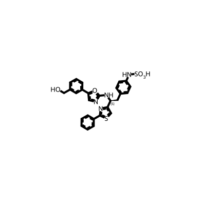 O=S(=O)(O)Nc1ccc(C[C@H](Nc2ncc(-c3cccc(CO)c3)o2)c2csc(-c3ccccc3)n2)cc1